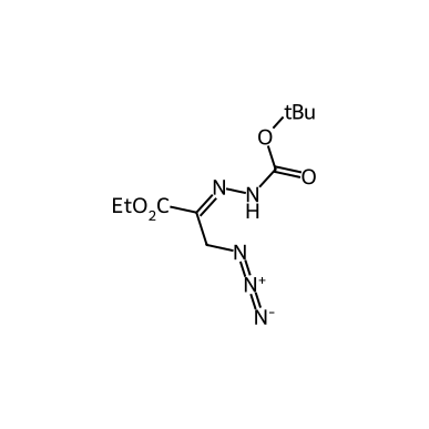 CCOC(=O)C(CN=[N+]=[N-])=NNC(=O)OC(C)(C)C